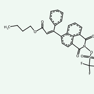 CCCCOC(=O)/C=C(\c1ccccc1)c1ccc2c3c(cccc13)C(=O)N(OS(=O)(=O)C(F)(F)F)C2=O